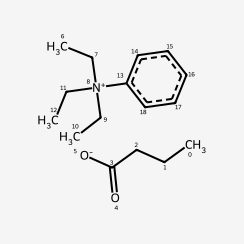 CCCC(=O)[O-].CC[N+](CC)(CC)c1ccccc1